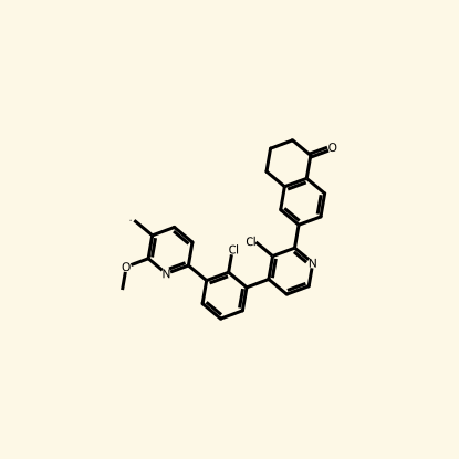 [CH2]c1ccc(-c2cccc(-c3ccnc(-c4ccc5c(c4)CCCC5=O)c3Cl)c2Cl)nc1OC